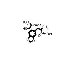 CCCCCCCC[S+]([O-])C(C)Cc1ccc2c(c1)OCO2.CN[C@@H](CS)C(=O)O